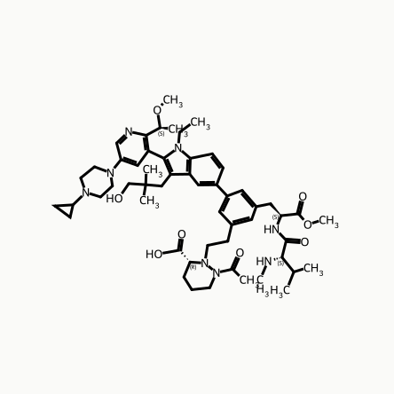 CCn1c(-c2cc(N3CCN(C4CC4)CC3)cnc2[C@H](C)OC)c(CC(C)(C)CO)c2cc(-c3cc(CCN4[C@@H](C(=O)O)CCCN4C(C)=O)cc(C[C@H](NC(=O)[C@@H](NC)C(C)C)C(=O)OC)c3)ccc21